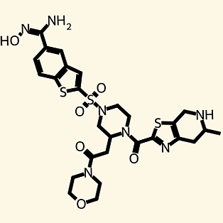 CC1Cc2nc(C(=O)N3CCN(S(=O)(=O)c4cc5cc(/C(N)=N\O)ccc5s4)CC3CC(=O)N3CCOCC3)sc2CN1